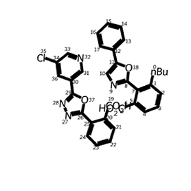 CCCCc1cccc(C(=O)O)c1-c1ncc(-c2ccccc2)o1.O=C(O)c1ccccc1-c1nnc(-c2cncc(Cl)c2)o1